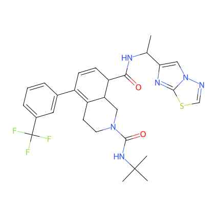 CC(NC(=O)C1C=CC(c2cccc(C(F)(F)F)c2)=C2CCN(C(=O)NC(C)(C)C)CC21)c1cn2ncsc2n1